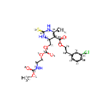 COC(=O)NCCOC(=O)OCC1NC(=S)NC(C)=C1C(=O)OCCc1cccc(Cl)c1